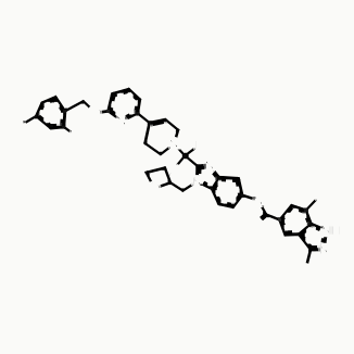 Cc1n[nH]c2c(F)cc(C(=O)Nc3ccc4c(c3)nc(C(F)(F)N3CC=C(c5cccc(OCc6ccc(Cl)cc6F)n5)CC3)n4CC3CCO3)cc12